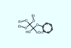 CCCCCCCCC(O)(Oc1ccccc1)C(OCC)(OCC)OCC